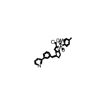 COC(=O)c1cc2c(n1S(=O)(=O)c1ccc(C)cc1)CCC2=Cc1cccc(-c2cccnc2)c1